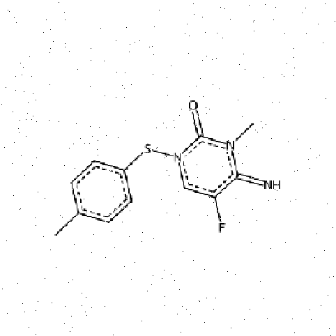 Cc1ccc(Sn2cc(F)c(=N)n(C)c2=O)cc1